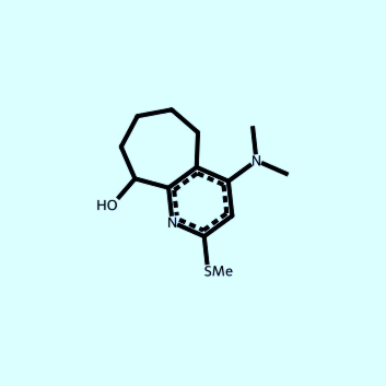 CSc1cc(N(C)C)c2c(n1)C(O)CCCC2